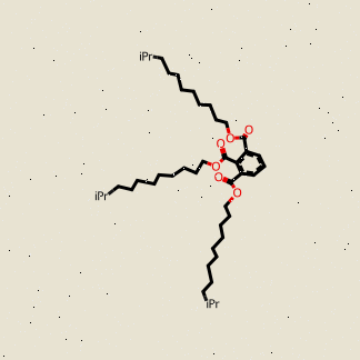 CC(C)CCCCCCCCCOC(=O)c1cccc(C(=O)OCCCCCCCCCC(C)C)c1C(=O)OCCCCCCCCCC(C)C